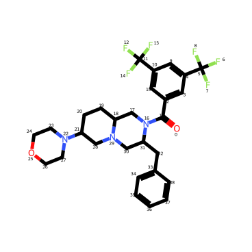 O=C(c1cc(C(F)(F)F)cc(C(F)(F)F)c1)N1CC2CCC(N3CCOCC3)CN2CC1Cc1ccccc1